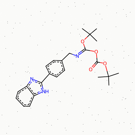 CC(C)(C)OC(=O)O/C(=N/Cc1ccc(-c2nc3ccccc3[nH]2)cc1)OC(C)(C)C